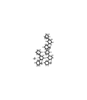 Fc1ccccc1-c1cccc(-c2ccccn2)c1.Fc1ccccc1-c1cccc(-c2ccccn2)c1.Fc1ccccc1-c1cccc(-c2ccccn2)c1.[Ir]